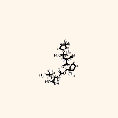 CC(C)(C)C[C@H](NC(=O)OC[C@@]1(C)CCCN1C(=O)/C(C#N)=C/C(C)(C)N1CCC(F)(F)C1)B(O)O